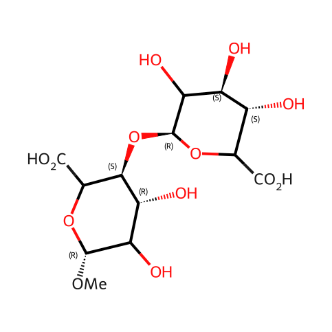 CO[C@@H]1OC(C(=O)O)[C@@H](O[C@@H]2OC(C(=O)O)[C@@H](O)[C@H](O)C2O)[C@H](O)C1O